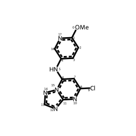 COc1ccc(Nc2cc(Cl)nc3ncnn23)cn1